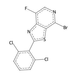 Fc1cnc(Br)c2sc(-c3c(Cl)cccc3Cl)nc12